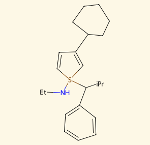 CCNS1(C(c2ccccc2)C(C)C)C=CC(C2CCCCC2)=C1